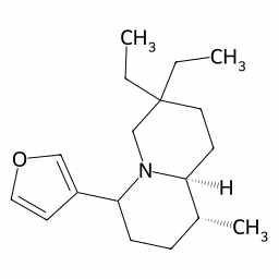 CCC1(CC)CC[C@H]2[C@H](C)CCC(c3ccoc3)N2C1